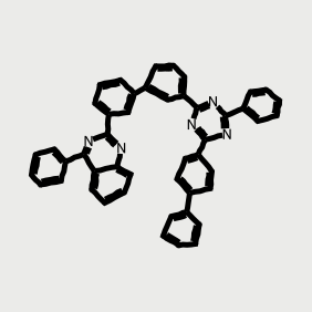 c1ccc(-c2ccc(-c3nc(-c4ccccc4)nc(-c4cccc(-c5cccc(-c6nc(-c7ccccc7)c7ccccc7n6)c5)c4)n3)cc2)cc1